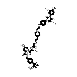 Cc1ncsc1-c1ccc(CNC(=O)[C@@H]2C[C@@H](O)CN2C(=O)C(NC(=O)COCCC2CCN(CCOc3ccc(N4C(=S)N(c5ccc(C#N)c(C(F)(F)F)c5)C(=O)C4(C)C)cc3)CC2)C(C)(C)C)cc1